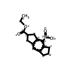 CCOC(=O)C1Cc2cc3c(c([N+](=O)[O-])c2C1)CCC3